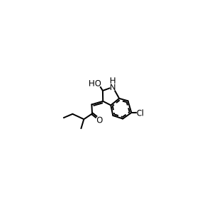 CCC(C)C(=O)/C=C1\c2ccc(Cl)cc2NC1O